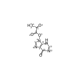 CC(=O)C(=O)On1cnc2c(=O)nc[nH]c21